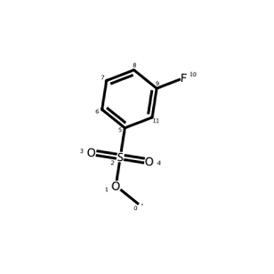 [CH2]OS(=O)(=O)c1cccc(F)c1